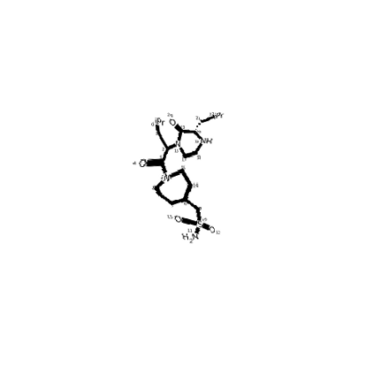 CC(C)CC(C(=O)N1CCC(CS(N)(=O)=O)CC1)N1CCN[C@@H](CC(C)C)C1=O